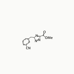 COC(=O)C1=NC(Cc2cccc(C#N)c2)N=N1